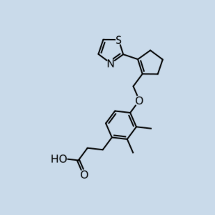 Cc1c(CCC(=O)O)ccc(OCC2=C(c3nccs3)CCC2)c1C